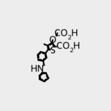 Cc1c(-c2cccc(CNc3ccccc3)c2)sc(C(=O)O)c1OCC(=O)O